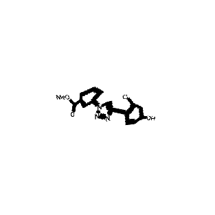 COC(=O)c1cccc(-n2cc(-c3ccc(O)cc3Cl)nn2)c1